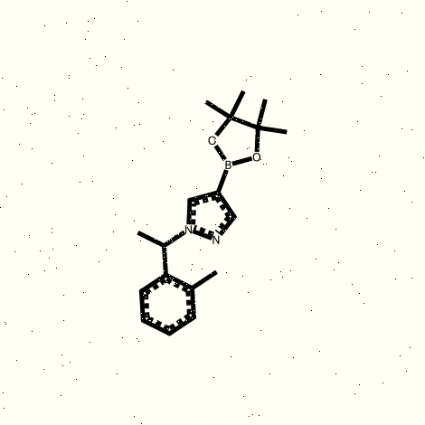 Cc1ccccc1C(C)n1cc(B2OC(C)(C)C(C)(C)O2)cn1